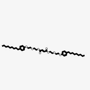 CCCCCCCCCc1ccc(OCCOCCOC(=O)/C=C/C(=O)OCCOCCOc2ccc(CCCCCCCCC)cc2)cc1